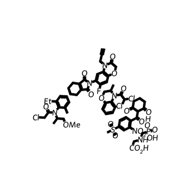 C#CCN1C(=O)COc2cc(F)c(N3C(=O)C4=C(CCCC4)C3=O)cc21.CC1COc2ccccc2N1C(=O)C(Cl)Cl.CCc1cccc(C)c1N(C(=O)CCl)C(C)COC.CS(=O)(=O)c1ccc(C(=O)C2C(=O)CCCC2=O)c([N+](=O)[O-])c1.O=C(O)CNCP(=O)(O)O